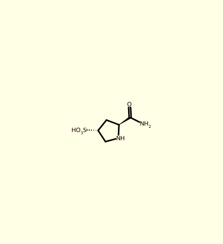 NC(=O)[C@@H]1C[C@@H](S(=O)(=O)O)CN1